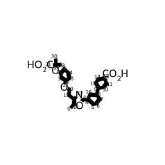 Cc1oc(-c2cccc(-c3ccc(C(=O)O)cc3)c2)nc1CCOc1cccc(OC(C)(C)C(=O)O)c1